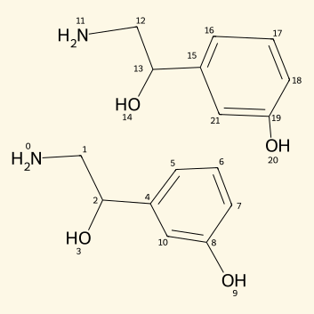 NCC(O)c1cccc(O)c1.NCC(O)c1cccc(O)c1